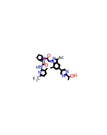 CC(=O)c1nn(CC(=O)N2C3CCC([C@@H]3C)[C@H]2C(=O)Nc2nc(C(F)(F)F)ccc2C)c2c(C)cc(-c3cnc(C(C)O)nc3)cc12